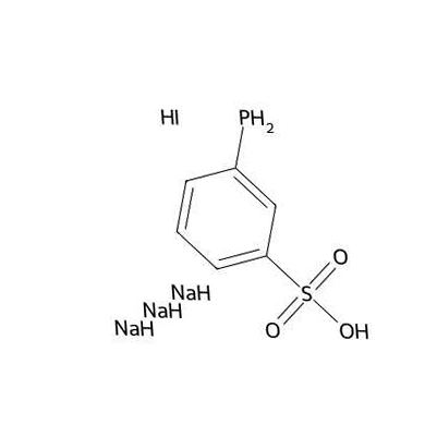 I.O=S(=O)(O)c1cccc(P)c1.[NaH].[NaH].[NaH]